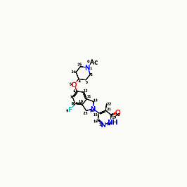 CC(=O)N1CCC(Oc2cc(F)c3c(c2)CN(c2cn[nH]c(=O)c2C)C3)CC1